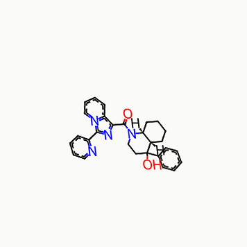 O=C(c1nc(-c2ccccn2)n2ccccc12)N1CCC(O)(c2ccccc2)[C@H]2CCCC[C@H]21